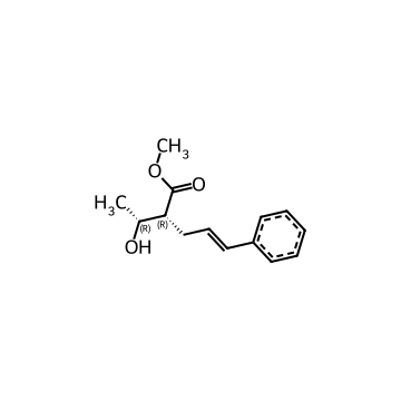 COC(=O)[C@H](CC=Cc1ccccc1)[C@@H](C)O